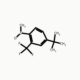 C[S+]([O-])c1ccc(C(C)(C)C)cc1C(F)(F)F